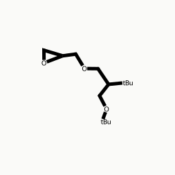 CC(C)(C)OCC(COCC1CO1)C(C)(C)C